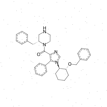 O=C(c1ncn([C@@H]2CCCC[C@H]2OCc2ccccc2)c1-c1ccccc1)N1CCNC[C@H]1Cc1ccccc1